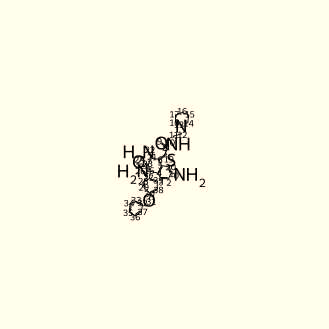 Nc1ccc2c3c(c(C(=O)NCCN4CCCCC4)sc13)C(N)C(=O)C2(N)c1ccc(Oc2ccccc2)cc1